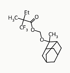 CCC(C)(C(=O)OCOC1(C)C2CC3CC(C2)CC1C3)C(F)(F)F